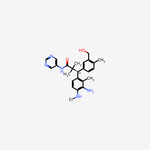 CCNc1ccc([C@H](c2ccc(C)c(CO)c2)C(C)(C)C(=O)Nc2cncnc2)c(C)c1N